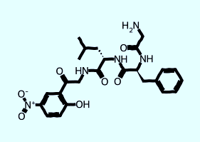 CC(C)C[C@H](NC(=O)[C@H](Cc1ccccc1)NC(=O)CN)C(=O)NCC(=O)c1cc([N+](=O)[O-])ccc1O